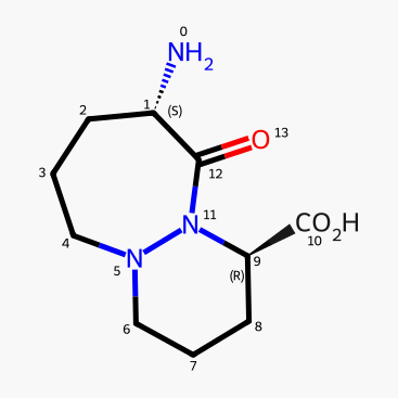 N[C@H]1CCCN2CCC[C@H](C(=O)O)N2C1=O